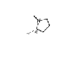 [CH2][C@H]1CCCN1C